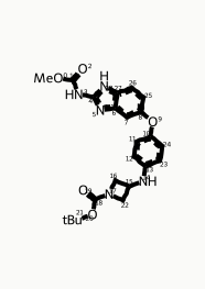 COC(=O)Nc1nc2cc(Oc3ccc(NC4CN(C(=O)OC(C)(C)C)C4)cc3)ccc2[nH]1